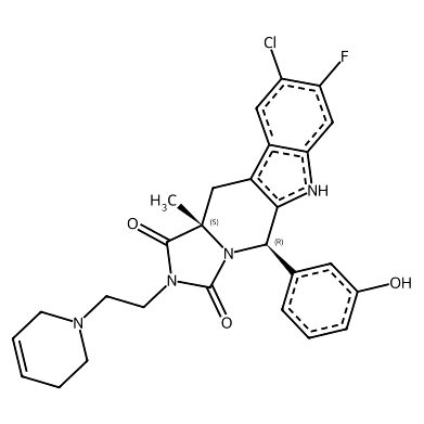 C[C@@]12Cc3c([nH]c4cc(F)c(Cl)cc34)[C@@H](c3cccc(O)c3)N1C(=O)N(CCN1CC=CCC1)C2=O